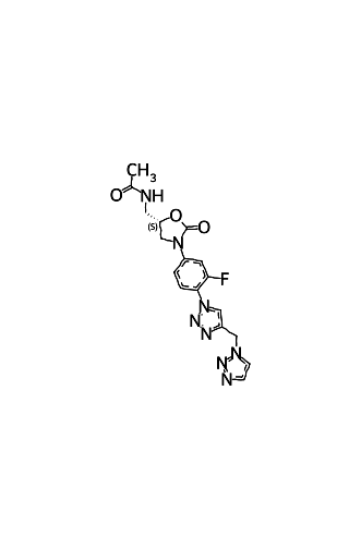 CC(=O)NC[C@H]1CN(c2ccc(-n3cc(Cn4ccnn4)nn3)c(F)c2)C(=O)O1